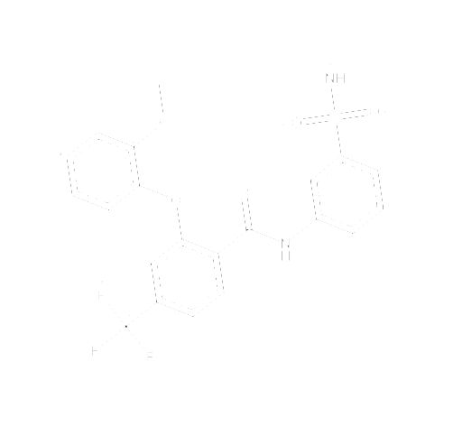 COc1ccccc1Oc1cc(C(F)(F)F)ccc1C(=O)Nc1cccc(S(N)(=O)=O)c1